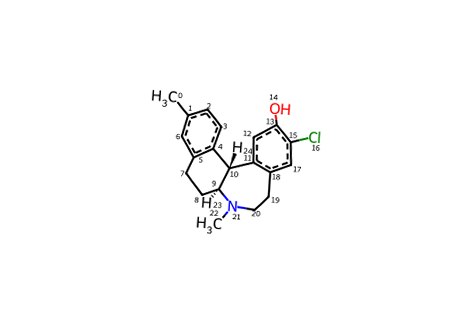 Cc1ccc2c(c1)CC[C@H]1[C@H]2c2cc(O)c(Cl)cc2CCN1C